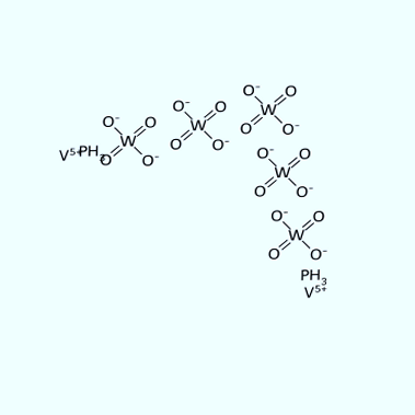 P.P.[O]=[W](=[O])([O-])[O-].[O]=[W](=[O])([O-])[O-].[O]=[W](=[O])([O-])[O-].[O]=[W](=[O])([O-])[O-].[O]=[W](=[O])([O-])[O-].[V+5].[V+5]